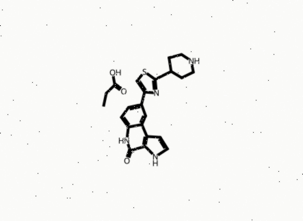 CCC(=O)O.O=c1[nH]c2ccc(-c3csc(C4CCNCC4)n3)cc2c2cc[nH]c12